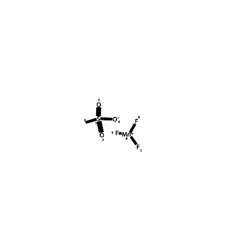 CS(=O)(=O)[O-].[F][Mn+]([F])[F]